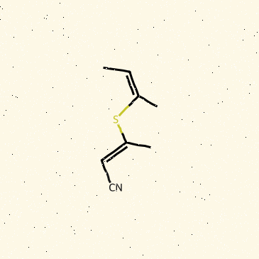 C/C=C(/C)S/C(C)=C/C#N